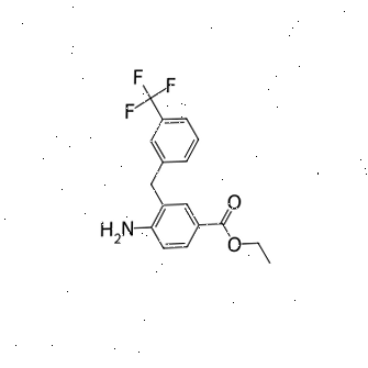 CCOC(=O)c1ccc(N)c(Cc2cccc(C(F)(F)F)c2)c1